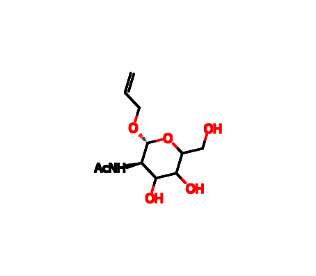 C=CCO[C@@H]1OC(CO)C(O)C(O)[C@H]1NC(C)=O